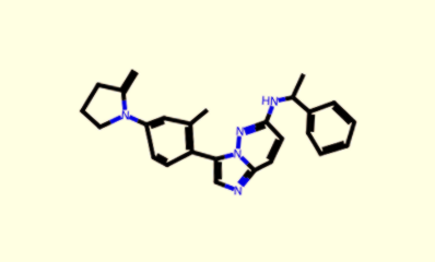 C=C1CCCN1c1ccc(-c2cnc3ccc(NC(C)c4ccccc4)nn23)c(C)c1